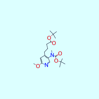 COc1cc(CCCC(=O)OC(C)(C)C)c(N(C)C(=O)OC(C)(C)C)cn1